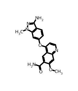 COc1cc2nccc(Oc3ccc4c(N)nn(C)c4c3)c2cc1C(N)=O